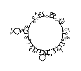 CCC1NC(=O)C(CC(=O)N2CCC(F)(F)CC2)N(C)C(=O)CNC(=O)CN(C)C(=O)CN(C)C(=O)CN(C)C(=O)CN(C)C(=O)C([C@@H](C)CC)NC(=O)C(CC(C)C)N(C)C(=O)CC(C(=O)N2CCCCC2)N(C)C(=O)C(C(C)C)N(C)C1=O